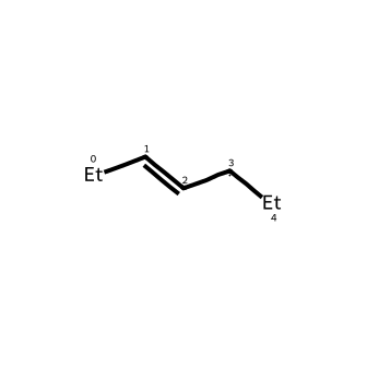 [CH2]C/C=C/[CH]CC